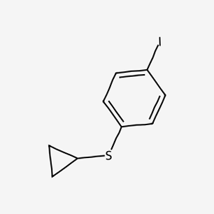 Ic1ccc(SC2CC2)cc1